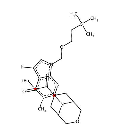 Cn1c(N2C3COCC2CN(C(=O)OC(C)(C)C)C3)nc2c(c(I)cn2COCC[Si](C)(C)C)c1=O